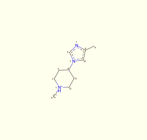 [CH2-][NH+]1CCC(n2cnc(C)c2)CC1